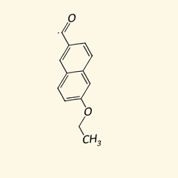 CCOc1ccc2cc([C]=O)ccc2c1